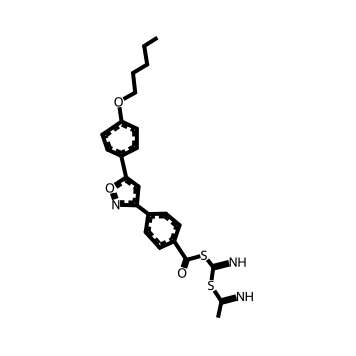 CCCCCOc1ccc(-c2cc(-c3ccc(C(=O)SC(=N)SC(C)=N)cc3)no2)cc1